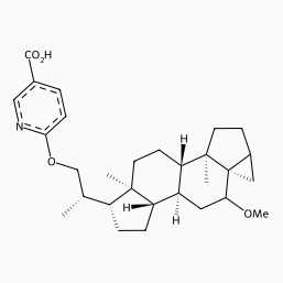 COC1C[C@H]2[C@@H]3CC[C@H]([C@H](C)COc4ccc(C(=O)O)cn4)[C@@]3(C)CC[C@@H]2[C@@]2(C)CCC3C[C@]312